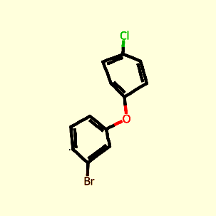 Clc1ccc(Oc2cc[c]c(Br)c2)cc1